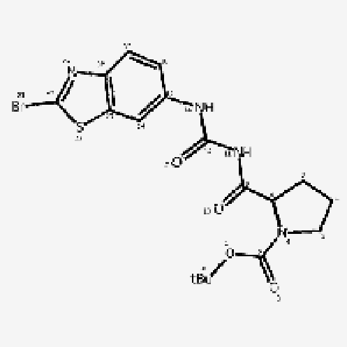 CC(C)(C)OC(=O)N1CCCC1C(=O)NC(=O)Nc1ccc2nc(Br)sc2c1